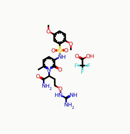 COc1ccc(OC)c(S(=O)(=O)Nc2ccc(C)n(C(CCONC(=N)N)C(N)=O)c2=O)c1.O=C(O)C(F)(F)F